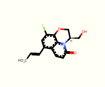 O=C(O)/C=C/c1cc(F)c2c3c1ccc(=O)n3[C@H](CO)CO2